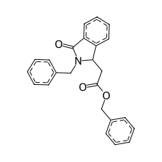 O=C(CC1c2ccccc2C(=O)N1Cc1ccccc1)OCc1ccccc1